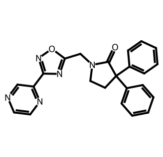 O=C1N(Cc2nc(-c3cnccn3)no2)CCC1(c1ccccc1)c1ccccc1